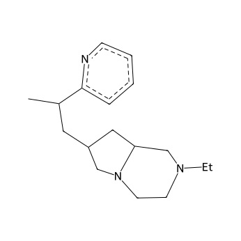 CCN1CCN2CC(CC(C)c3ccccn3)CC2C1